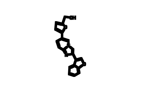 OCc1ccc(-c2ccc3nc(-c4coc5ccccc45)cn3c2)o1